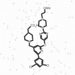 COCCN1CCN(c2ncc(Oc3cc(CN4CCC(CC(=O)O)CC4)cc(-c4cc(Cl)cc(Cl)c4)n3)cn2)CC1